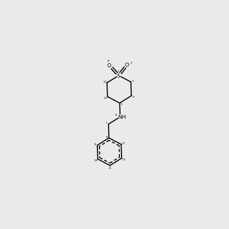 O=S1(=O)CCC(NCc2ccccc2)CC1